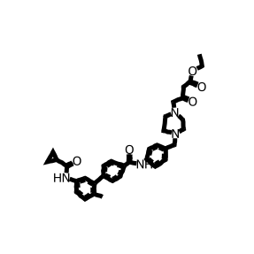 CCOC(=O)CC(=O)CN1CCN(Cc2ccc(NC(=O)c3ccc(-c4cc(NC(=O)C5CC5)ccc4C)cc3)cc2)CC1